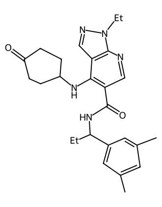 CCC(NC(=O)c1cnc2c(cnn2CC)c1NC1CCC(=O)CC1)c1cc(C)cc(C)c1